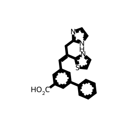 O=C(O)c1cc(C=C(Cc2ncc[nH]2)c2nccs2)cc(-c2ccccc2)c1